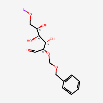 O=C[C@H](OCOCc1ccccc1)[C@@H](O)[C@@H](O)[C@H](O)COI